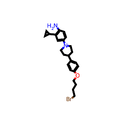 Nc1ccc(N2CCC(c3ccc(OCCCCBr)cc3)CC2)cc1C1CC1